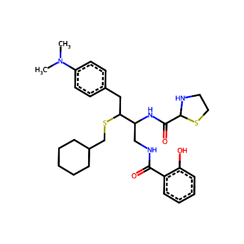 CN(C)c1ccc(CC(SCC2CCCCC2)C(CNC(=O)c2ccccc2O)NC(=O)C2NCCS2)cc1